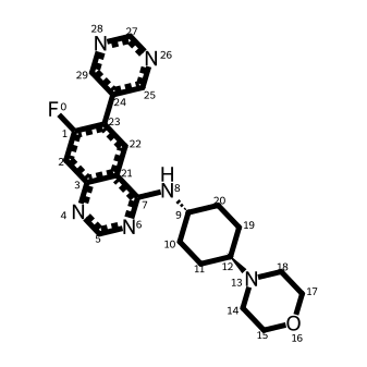 Fc1cc2ncnc(N[C@H]3CC[C@H](N4CCOCC4)CC3)c2cc1-c1cncnc1